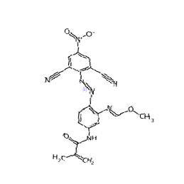 C=C(C)C(=O)Nc1ccc(/N=N/c2c(C#N)cc([N+](=O)[O-])cc2C#N)c(N=COC)c1